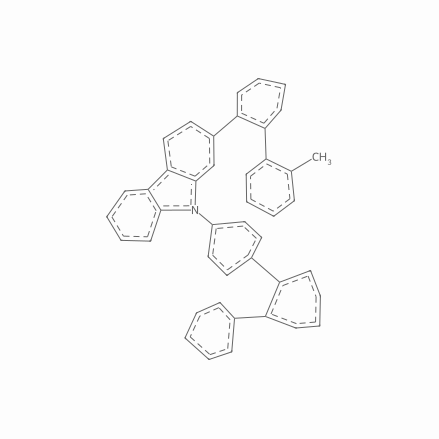 Cc1ccccc1-c1ccccc1-c1ccc2c3ccccc3n(-c3ccc(-c4ccccc4-c4ccccc4)cc3)c2c1